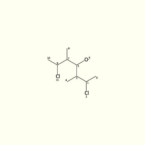 CC(Cl)C(C)C([O])C(C)C(C)Cl